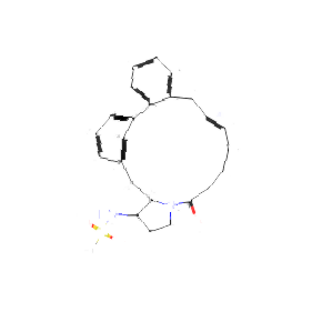 CCS(=O)(=O)NC1CCN2C(=O)CCC/C=C/Cc3ccccc3-c3cccc(c3)CC12